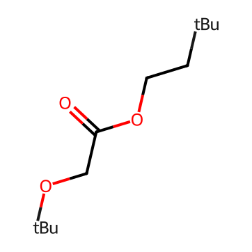 CC(C)(C)CCOC(=O)COC(C)(C)C